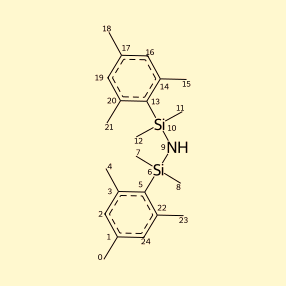 Cc1cc(C)c([Si](C)(C)N[Si](C)(C)c2c(C)cc(C)cc2C)c(C)c1